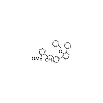 COc1ccccc1C(O)Cc1cccc(-c2cccc(-c3ccccc3)c2OCc2ccccc2)c1